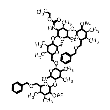 CCC1O[C@@H](OCC2O[C@H](F)C(O[C@@H]3OC(CC)[C@@H](O[C@@H]4OC(COCc5ccccc5)[C@H](C)[C@H](C)C4OC(C)=O)[C@H](C)C3NC(=O)OCC(Cl)(Cl)Cl)[C@H](C)[C@@H]2C)C(C)[C@@H](C)[C@@H]1O[C@@H]1OC(COCc2ccccc2)[C@H](C)[C@H](C)C1OC(C)=O